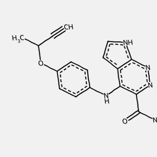 C#CC(C)Oc1ccc(Nc2c(C(N)=O)nnc3[nH]ccc23)cc1